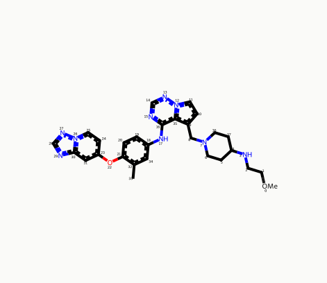 COCCNC1CCN(Cc2ccn3ncnc(Nc4ccc(Oc5ccn6ncnc6c5)c(C)c4)c23)CC1